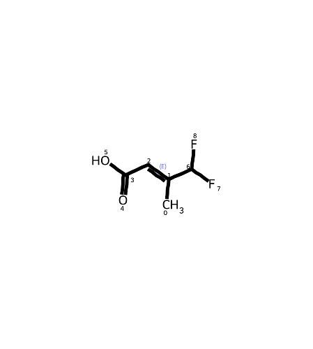 C/C(=C\C(=O)O)C(F)F